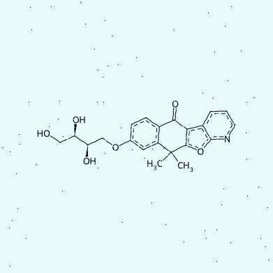 CC1(C)c2cc(OC[C@@H](O)[C@H](O)CO)ccc2C(=O)c2c1oc1ncccc21